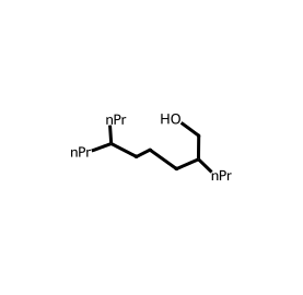 CCCC(CO)CCCC(CCC)CCC